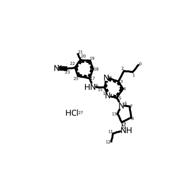 CCCc1cc(N2CC[C@H](NCC)C2)nc(Nc2ccc(C)c(C#N)c2)n1.Cl